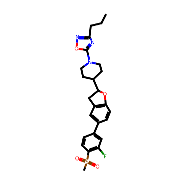 CCCc1noc(N2CCC(C3Cc4cc(-c5ccc(S(C)(=O)=O)c(F)c5)ccc4O3)CC2)n1